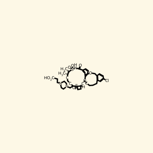 C[C@@H]1[C@@H](C)CCCC(O)(CN2CCN(CCC(=O)O)CC2)[C@@H]2CC[C@H]2CN2CCCCc3cc(Cl)ccc3COc3ccc(cc32)C(=O)NS1(=O)=O